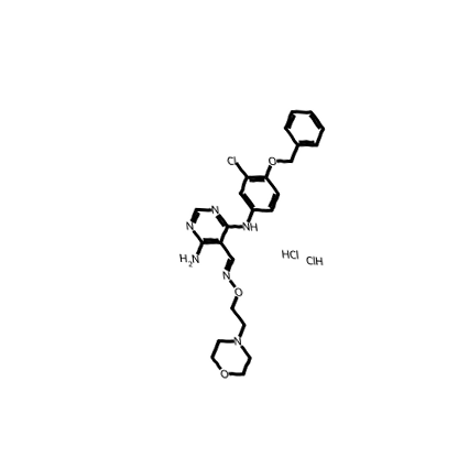 Cl.Cl.Nc1ncnc(Nc2ccc(OCc3ccccc3)c(Cl)c2)c1/C=N/OCCN1CCOCC1